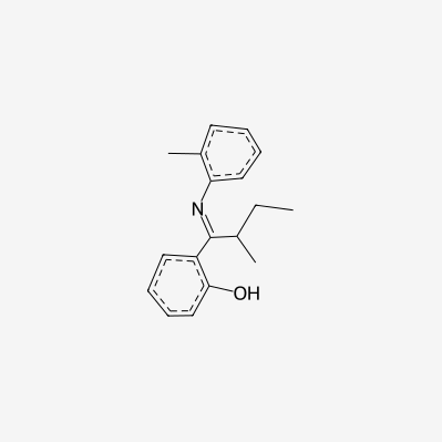 CCC(C)/C(=N\c1ccccc1C)c1ccccc1O